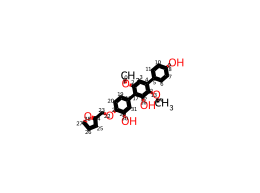 COc1cc(-c2ccc(O)cc2)c(OC)c(O)c1-c1ccc(OCc2ccco2)c(O)c1